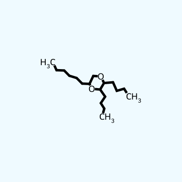 CCCCCCC1COC(CCCC)C(CCCC)O1